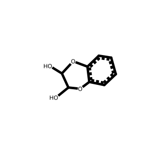 O[C]1Oc2ccccc2OC1O